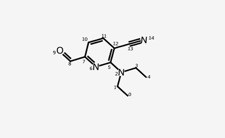 CCN(CC)c1nc(C=O)ccc1C#N